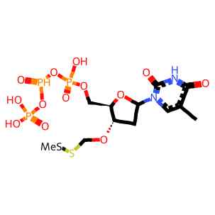 CSSCO[C@H]1CC(n2cc(C)c(=O)[nH]c2=O)O[C@@H]1COP(=O)(O)O[PH](=O)OP(=O)(O)O